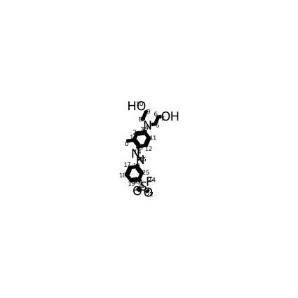 Cc1cc(N(CCO)CCO)ccc1N=Nc1cccc(S(=O)(=O)F)c1